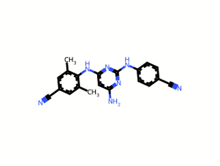 Cc1cc(C#N)cc(C)c1Nc1cc(N)nc(Nc2ccc(C#N)cc2)n1